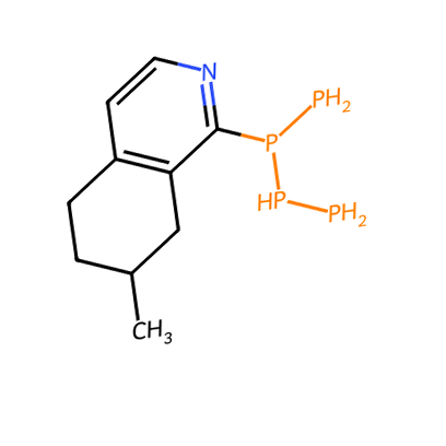 CC1CCc2ccnc(P(P)PP)c2C1